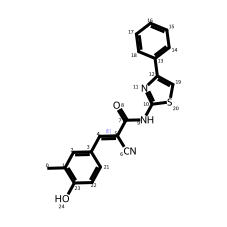 Cc1cc(/C=C(\C#N)C(=O)Nc2nc(-c3ccccc3)cs2)ccc1O